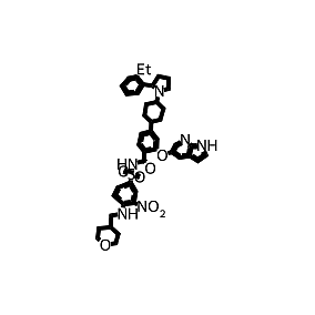 CCc1ccccc1C1CCCN1C1CCC(c2ccc(C(=O)NS(=O)(=O)c3ccc(NCC4CCOCC4)c([N+](=O)[O-])c3)c(Oc3cnc4[nH]ccc4c3)c2)CC1